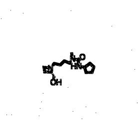 CN(CCCCN1CC[C@H]1CO)C(=O)NC1CCCC1